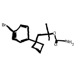 CC(C)(CC1(c2ccc(Br)cc2)CCC1)OC(N)=O